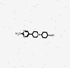 CCC[C@H]1CC[C@@H](N2CCC(c3cnc(C)nc3)CC2)CC1